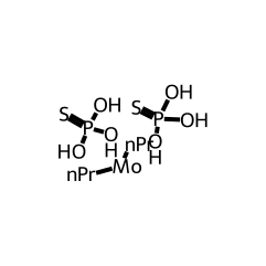 CC[CH2][Mo][CH2]CC.OP(O)(O)=S.OP(O)(O)=S